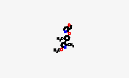 COc1ccc(-c2ccc(Oc3nccc4occc34)cc2C)c(C)n1